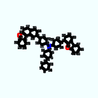 c1ccc(-c2ccc(N(c3ccc(-c4ccc5ccc6oc7ccccc7c6c5c4)cc3)c3ccc(-c4cccc5c4oc4ccccc45)cc3)cc2)cc1